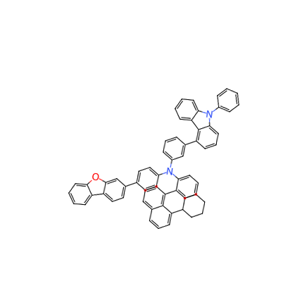 c1ccc(-n2c3ccccc3c3c(-c4cccc(N(c5ccc(-c6ccc7c(c6)oc6ccccc67)cc5)c5ccccc5-c5cccc6cccc(C7CCCCC7)c56)c4)cccc32)cc1